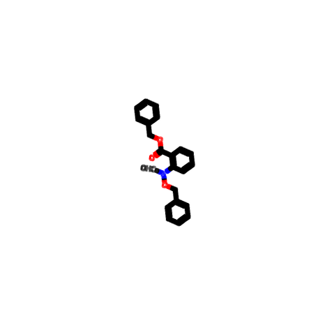 O=CN(OCc1ccccc1)c1ccc[c]c1C(=O)OCc1ccccc1